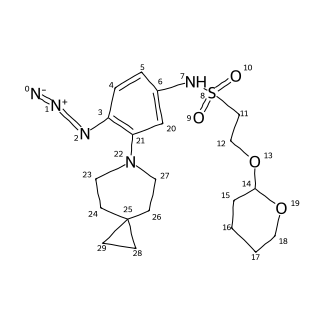 [N-]=[N+]=Nc1ccc(NS(=O)(=O)CCOC2CCCCO2)cc1N1CCC2(CC1)CC2